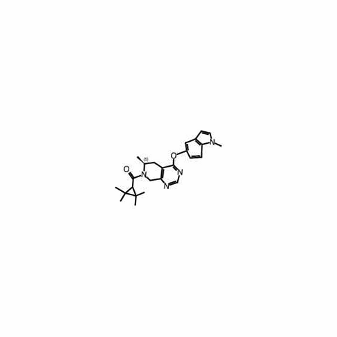 C[C@H]1Cc2c(ncnc2Oc2ccc3c(ccn3C)c2)CN1C(=O)C1C(C)(C)C1(C)C